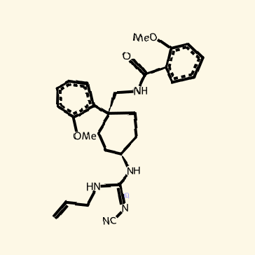 C=CCN/C(=N\C#N)N[C@H]1CC[C@](CNC(=O)c2ccccc2OC)(c2ccccc2OC)CC1